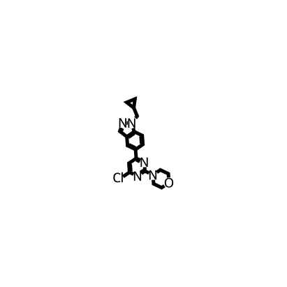 Clc1cc(-c2ccc3c(cnn3CC3CC3)c2)nc(N2CCOCC2)n1